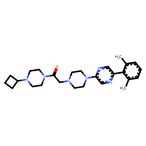 Cc1cccc(C)c1-c1cnc(N2CCN(CC(=O)N3CCN(C4CCC4)CC3)CC2)cn1